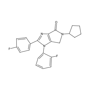 O=C1c2nc(-c3ccc(F)cc3)n(-c3ccccc3F)c2CN1C1CCCC1